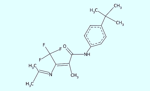 CC(C)=N/C(=C(\C)C(=O)Nc1ccc(C(C)(C)C)cc1)C(F)(F)F